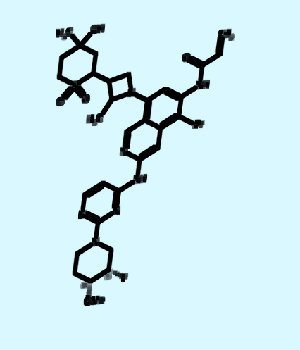 C=CC(=O)Nc1cc(N2CC(C3CC(C)(O)CCS3(=O)=O)C2C)c2cnc(Nc3ccnc(N4CC[C@@H](OC)[C@@H](F)C4)n3)cc2c1C(C)C